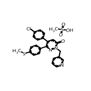 CS(=O)(=O)O.CSc1ccc(-c2nn(Cc3cccnc3)c(=O)cc2-c2ccc(Cl)cc2)cc1